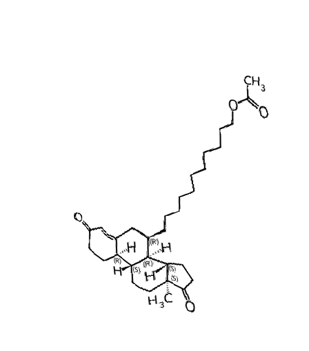 CC(=O)OCCCCCCCCCCC[C@@H]1CC2=CC(=O)CC[C@@H]2[C@H]2CC[C@]3(C)C(=O)CC[C@H]3[C@H]12